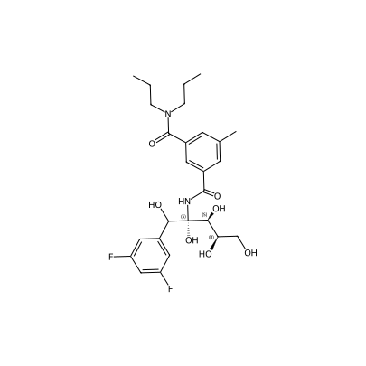 CCCN(CCC)C(=O)c1cc(C)cc(C(=O)N[C@](O)(C(O)c2cc(F)cc(F)c2)[C@@H](O)[C@H](O)CO)c1